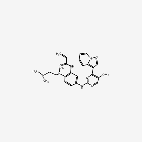 C=CC(=O)Nc1cc(Nc2ncc(OC)c(-c3cnn4ccccc34)n2)ccc1N(C)CCN(C)C